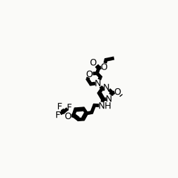 CCOC(=O)C1CN(c2cc(NCCc3ccc(OC(F)(F)F)cc3)nc(OC)n2)CCO1